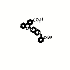 CC(C)COc1ccccc1CN1CCC2(CC1)CCN(C(=O)c1cc(C(=O)O)ccc1-c1ccccc1)CC2